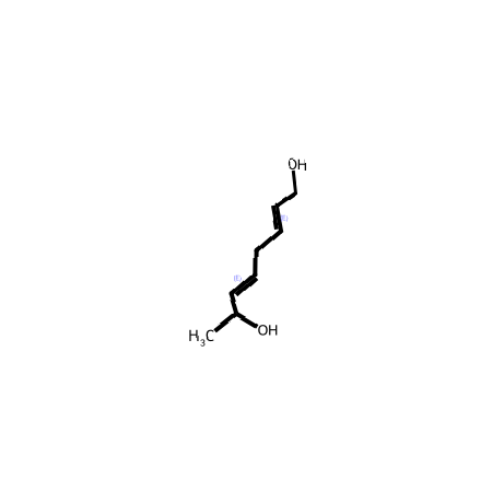 CC(O)/C=C/C/C=C/CO